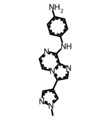 Cn1cc(-c2cnc3c(Nc4ccc(N)cc4)nccn23)cn1